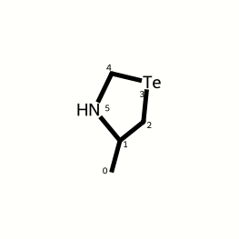 CC1C[Te]CN1